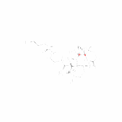 C=C1C(=O)[C@]23[C@H](OC(=O)C4CCN(S(=O)(=O)CCCC)CC4)[C@H]1CC[C@H]2[C@@]12CO[C@]3(O)[C@@H](O)[C@@H]1C(C)(C)CCC2=O